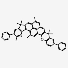 Cc1nc2c(cc1-c1ccccc1)C(C)(C)c1cc3c(C)cc4cc5c(c6cc(C)c(c1-2)c3c46)Oc1ccc(-c2ccccc2)cc1C5(C)C